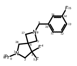 CC(C)N1CC(F)(F)C2(CN(Cc3cccc(F)c3)C2)C1